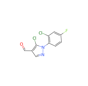 O=Cc1cnn(-c2ccc(F)cc2Cl)c1Cl